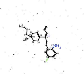 C=C/C=C(/CCc1cc(F)ccc1N)C1=CC[C@](CC)(CCC#N)CC1